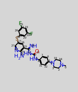 CN1CCN(c2ccc(NC(=O)NC(=N)c3cc(Sc4cc(F)cc(F)c4)cnc3N)cc2)CC1